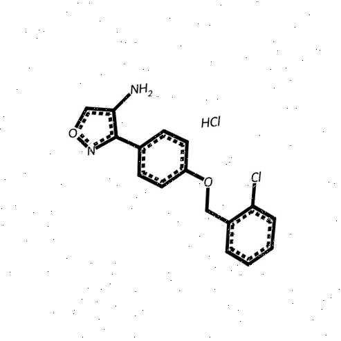 Cl.Nc1conc1-c1ccc(OCc2ccccc2Cl)cc1